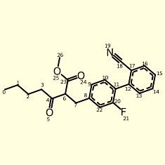 CCCCC(=O)C(Cc1ccc(-c2ccccc2C#N)c(F)c1)C(=O)OC